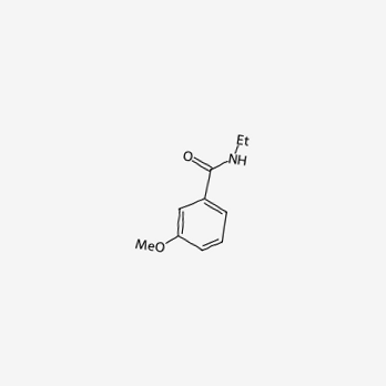 [CH2]CNC(=O)c1cccc(OC)c1